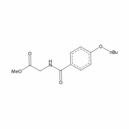 CCCCOc1ccc(C(=O)NCC(=O)OC)cc1